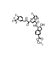 COC(=O)c1ccc2c(c1)C[C@@H](O)[C@@H]2NC(=O)c1cc(C(=O)NCc2ccc(F)c(C(F)(F)F)c2)nc2c(F)cnn12